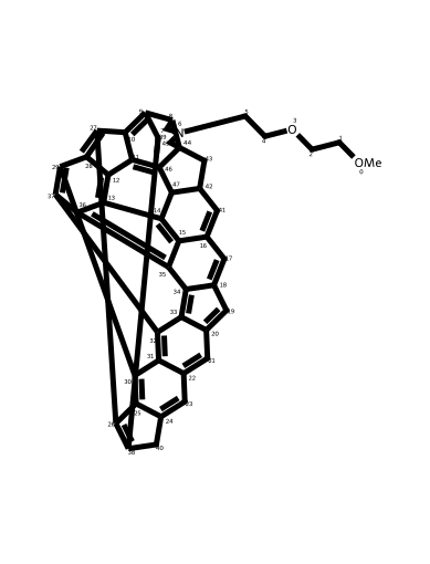 COCCOCCN1CC2C3=c4c5c6c7c8c9c(cc%10cc%11cc%12cc%13c%14c(c4c6c4c%14c%12c6c%11c%10c9c7c64)=C(C3)C%13)=CC3CC2(C1)C=5C83